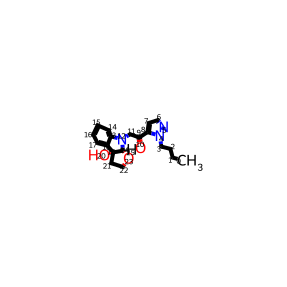 CCCCn1nccc1C(=O)CN1c2ccccc2[C@]2(O)CCO[C@H]12